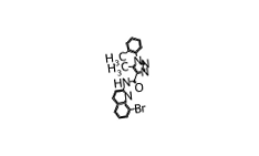 Cc1ccccc1-n1nnc(C(=O)Nc2ccc3cccc(Br)c3n2)c1C